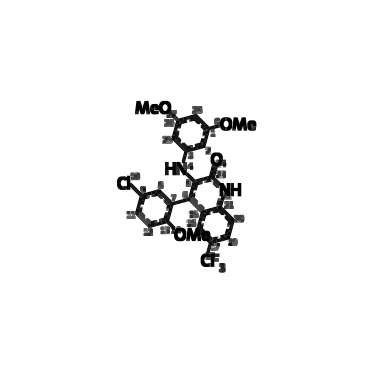 COc1cc(Nc2c(-c3cc(Cl)ccc3OC)c3cc(C(F)(F)F)ccc3[nH]c2=O)cc(OC)c1